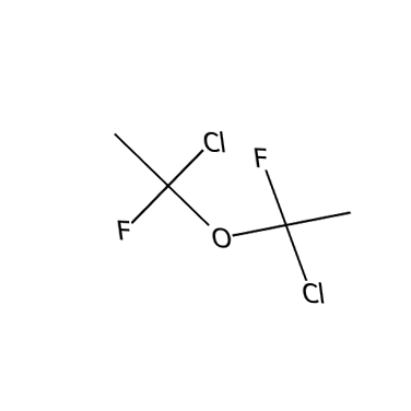 CC(F)(Cl)OC(C)(F)Cl